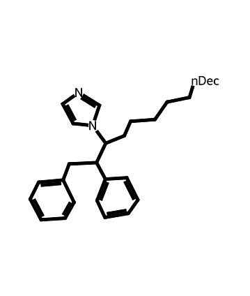 CCCCCCCCCCCCCCCC(C(Cc1ccccc1)c1ccccc1)n1ccnc1